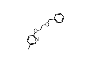 Cc1ccc(OCCOCc2ccccc2)nc1